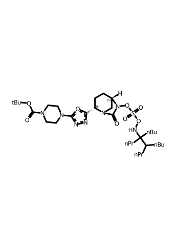 CCCCC(CCC)C(CCC)(CCCC)NOS(=O)(=O)ON1C(=O)N2C[C@@H]1CC[C@H]2c1nnc(N2CCN(C(=O)OC(C)(C)C)CC2)o1